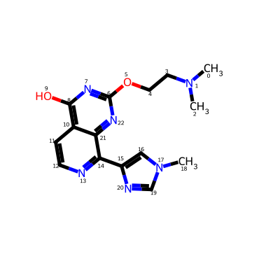 CN(C)CCOc1nc(O)c2ccnc(-c3cn(C)cn3)c2n1